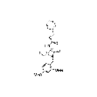 COc1ccc(CN2C(=O)[C@@H](NC(=O)OCc3ccccc3)[C@H]2CI)c(OC)c1